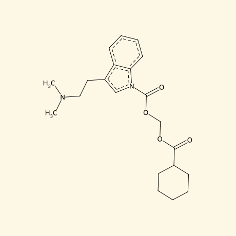 CN(C)CCc1cn(C(=O)OCOC(=O)C2CCCCC2)c2ccccc12